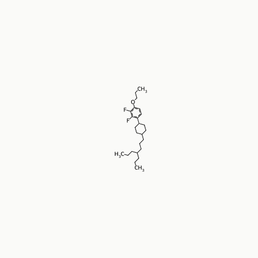 CCCOc1ccc(C2CCC(CCCC(CCC)CCC)CC2)c(F)c1F